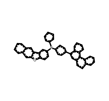 c1ccc(N(c2ccc(-c3cc4ccc5ccccc5c4c4ccccc34)cc2)c2ccc3oc4cc5ccccc5cc4c3c2)cc1